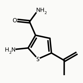 C=C(C)c1cc(C(N)=O)c(N)s1